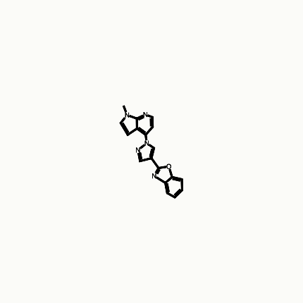 Cn1ccc2c(-n3cc(-c4nc5ccccc5o4)cn3)ccnc21